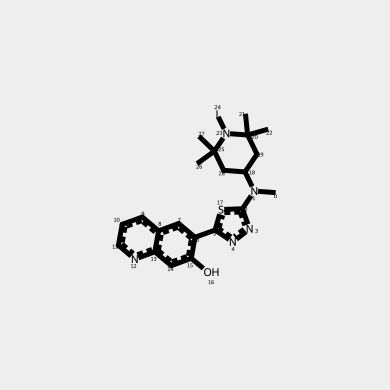 CN(c1nnc(-c2cc3cccnc3cc2O)s1)C1CC(C)(C)N(I)C(C)(C)C1